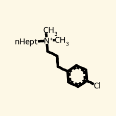 CCCCCCC[N+](C)(C)CCCc1ccc(Cl)cc1